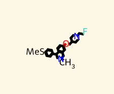 CSc1ccc(C2CN(C)Cc3cc(OCC4CCN(CCF)CC4)ccc32)cc1